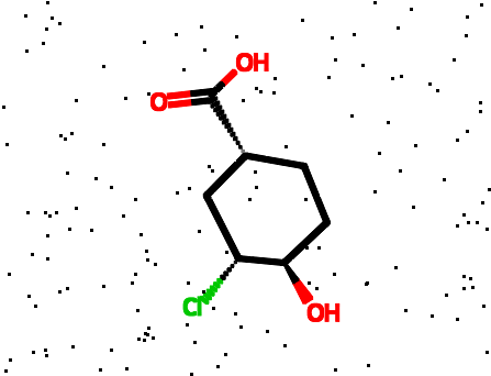 O=C(O)[C@@H]1CC[C@@H](O)[C@H](Cl)C1